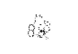 CCCc1ccc2cccc3c2c1C(=O)NC3=O.Cc1ccc2c(c1)S2(=O)=O